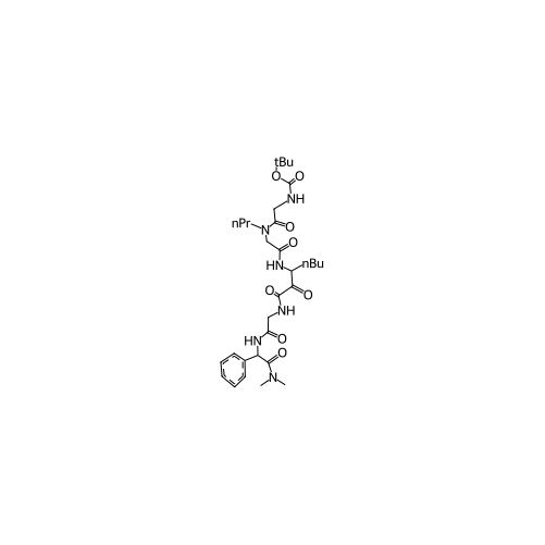 CCCCC(NC(=O)CN(CCC)C(=O)CNC(=O)OC(C)(C)C)C(=O)C(=O)NCC(=O)NC(C(=O)N(C)C)c1ccccc1